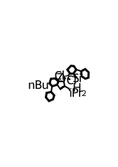 CCCCc1ccc2c(c1-c1ccccc1)C=C(CC(C)C)[CH]2[Zr]([Cl])([Cl])[c]1cccc2c1[SiH2]c1ccccc1-2